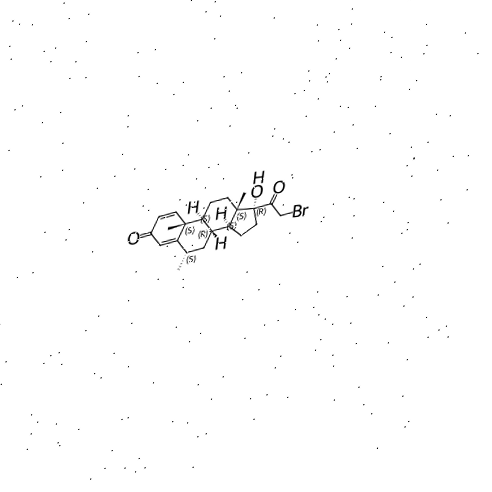 C[C@H]1C[C@@H]2[C@H](CC[C@@]3(C)[C@H]2CC[C@]3(O)C(=O)CBr)[C@@]2(C)C=CC(=O)C=C12